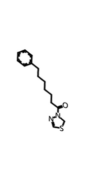 O=C(CCCCCCc1ccccc1)N1CSC=N1